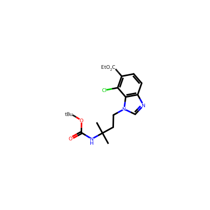 CCOC(=O)c1ccc2ncn(CCC(C)(C)NC(=O)OC(C)(C)C)c2c1Cl